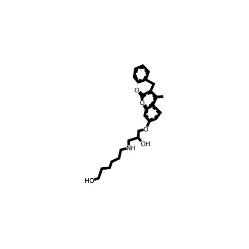 Cc1c(Cc2ccccc2)c(=O)oc2cc(OCC(O)CNCCCCCCO)ccc12